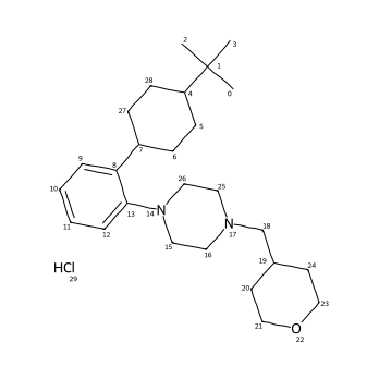 CC(C)(C)C1CCC(c2ccccc2N2CCN(CC3CCOCC3)CC2)CC1.Cl